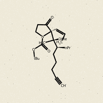 C#CCCC[C@H](CCC)[C@@](C)(OC)[C@]1(/C=C\C)C(=O)CCN1C(=O)OC(C)(C)C